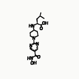 CC(C)C[C@H](NC1CCN(c2ncc(C(=O)NO)cn2)CC1)C(=O)O